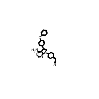 N#CC=C1CCC(n2cc(-c3ccc(Oc4ccccc4)cc3)c3c(N)ncnc32)CC1